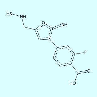 N=c1oc(CNS)cn1-c1ccc(C(=O)O)c(F)c1